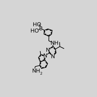 Cc1cc2c(CN)cccc2n1-c1ncc(C(C)C)c(NCc2cccc(B(O)O)c2)n1